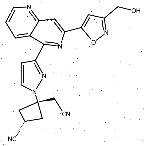 N#CC[C@]1(n2ccc(-c3nc(-c4cc(CO)no4)cc4ncccc34)n2)C[C@@H](C#N)C1